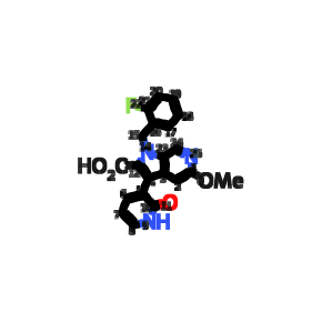 COc1cc2c(-c3ccc[nH]c3=O)c(C(=O)O)n(Cc3ccccc3F)c2cn1